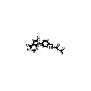 CC(=O)OC(=O)NCc1ccc(-n2c(Cl)cc3c(=O)[nH]cnc32)cc1